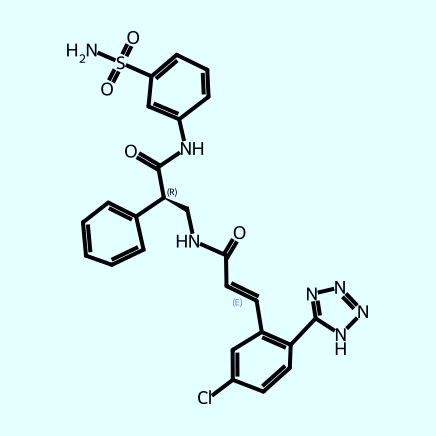 NS(=O)(=O)c1cccc(NC(=O)[C@@H](CNC(=O)/C=C/c2cc(Cl)ccc2-c2nnn[nH]2)c2ccccc2)c1